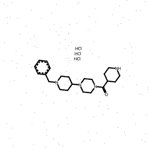 Cl.Cl.Cl.O=C(C1CCNCC1)N1CCN(C2CCN(Cc3ccccc3)CC2)CC1